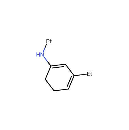 CCNC1=CC(CC)=CCC1